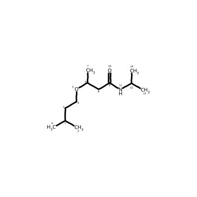 CC(C)CCOC(C)CC(=O)NC(C)C